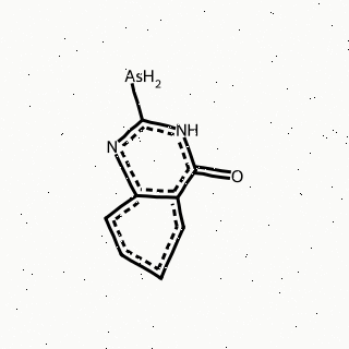 O=c1[nH]c([AsH2])nc2ccccc12